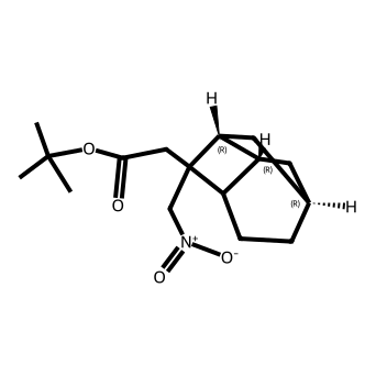 CC(C)(C)OC(=O)CC1(C[N+](=O)[O-])C2CC[C@@H]3C[C@H]2[C@H]1C3